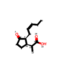 CC/C=C\C[C@@H]1C(=O)CC[C@@H]1C(C)C(=O)O